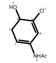 CC(=O)NC1=CCC(O)C(Cl)=C1